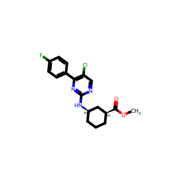 COC(=O)[C@H]1CCC[C@@H](Nc2ncc(Cl)c(-c3ccc(F)cc3)n2)C1